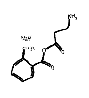 NCCC(=O)OC(=O)c1ccccc1C(=O)O.[NaH]